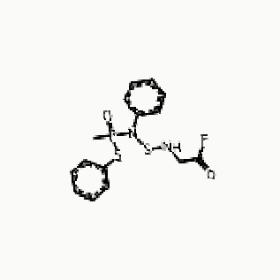 CP(=O)(Sc1ccccc1)N(SNCC(=O)F)c1ccccc1